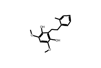 COc1cc(OC)c(O)c(CCc2ccccc2C)c1O